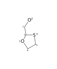 [O]CC1OCCS1